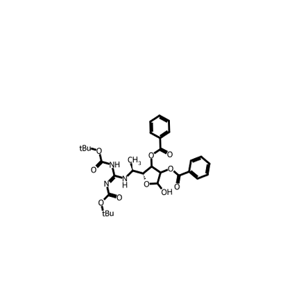 C[C@H](N/C(=N\C(=O)OC(C)(C)C)NC(=O)OC(C)(C)C)[C@H]1OC(O)C(OC(=O)c2ccccc2)C1OC(=O)c1ccccc1